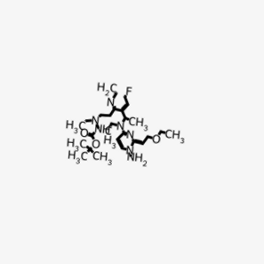 C=C/N=C(CCN(CC)NC(=O)OC(C)(C)C)\C(=C/CF)C(C)N(CC)C1=N/C(=C\COCC)N(N)C=C1